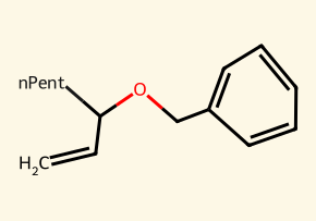 C=CC(CCCCC)OCc1ccccc1